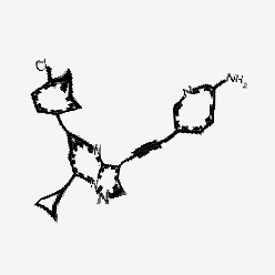 Nc1ccc(C#Cc2cnn3c(C4CC4)cc(-c4ccc(Cl)cc4)nc23)cn1